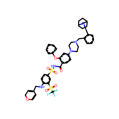 O=C(NS(=O)(=O)c1ccc(NCC2=CCOC=C2)c(S(=O)(=O)C(F)(F)F)c1)c1ccc(N2CCN(Cc3ccccc3N3CC4CCC(CC4)C3)CC2)cc1Oc1ccccc1